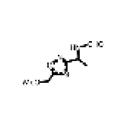 COCc1nc(C(C)NC=O)no1